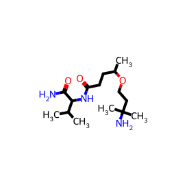 CC(CCC(=O)NC(C(N)=O)C(C)C)OCCC(C)(C)N